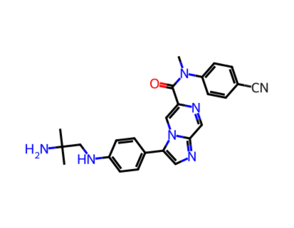 CN(C(=O)c1cn2c(-c3ccc(NCC(C)(C)N)cc3)cnc2cn1)c1ccc(C#N)cc1